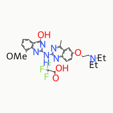 CCN(CC)CCOc1ccc2nc(Nc3nc(O)c4cccc(OC)c4n3)nc(C)c2c1.O=C(O)C(F)(F)F